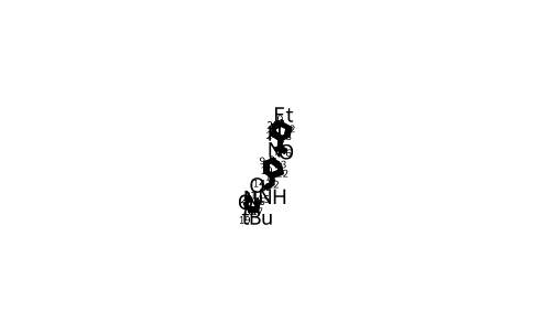 CCc1ccc(C(=O)Nc2ccc(CC(=O)Nc3cc(C(C)(C)C)on3)cc2)cc1